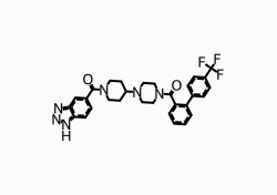 O=C(c1ccc2[nH]nnc2c1)N1CCC(N2CCN(C(=O)c3ccccc3-c3ccc(C(F)(F)F)cc3)CC2)CC1